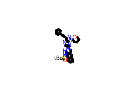 CC(C)(C)[S@@+]([O-])N[C@@H]1c2ccccc2CC12CCN(c1cnc3c(C#Cc4ccccc4)nn(C4CCCCO4)c3n1)CC2